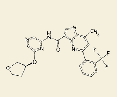 Cc1cc(-c2ccccc2C(F)(F)F)nn2c(C(=O)Nc3cncc(O[C@H]4CCOC4)n3)cnc12